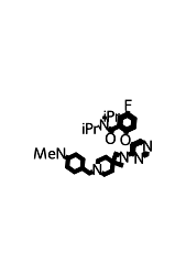 CNC1CCC(CN2CCC3(CC2)CN(c2ncncc2Oc2ccc(F)cc2C(=O)N(C(C)C)C(C)C)C3)CC1